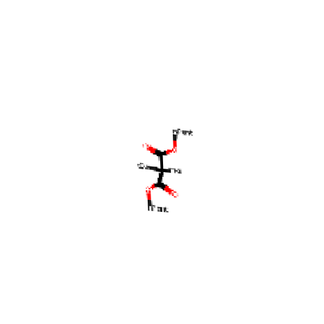 CCCCCOC(=O)C(C(=O)OCCCCC)(C(C)(C)C)C(C)(C)C